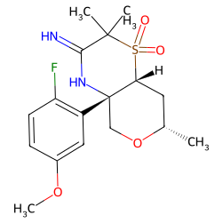 COc1ccc(F)c([C@]23CO[C@@H](C)C[C@H]2S(=O)(=O)C(C)(C)C(=N)N3)c1